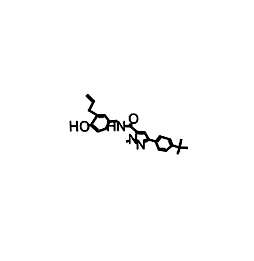 C=CCC1=CC(CNC(=O)c2cc(-c3ccc(C(C)(C)C)cc3)nn2C)CC=C1O